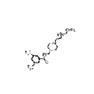 CCOCNCCN1CCC(CNC(=O)c2cc(C(F)(F)F)cc(C(F)(F)F)c2)CC1